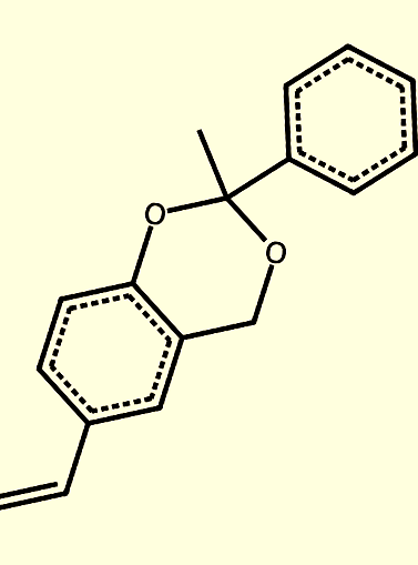 C=Cc1ccc2c(c1)COC(C)(c1ccccc1)O2